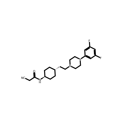 N#CCC(=O)N[C@H]1CC[C@H](CCN2CCN(c3cc(F)cc(F)c3)CC2)CC1